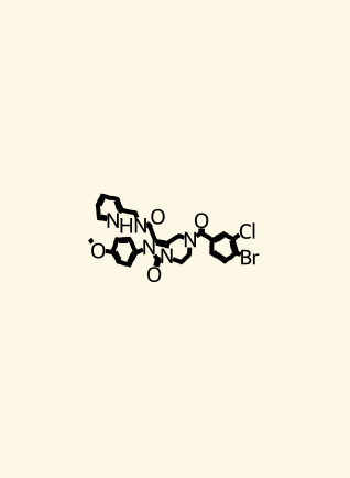 COc1ccc(-n2c(C(=O)NCc3ccccn3)c3n(c2=O)CCN(C(=O)c2ccc(Br)c(Cl)c2)C3)cc1